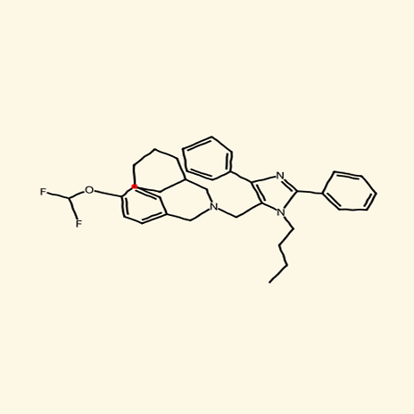 CCCCn1c(-c2ccccc2)nc(-c2ccccc2)c1CN(Cc1ccc(OC(F)F)cc1)CC1CCCCC1